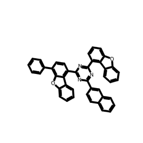 c1ccc(-c2ccc(-c3nc(-c4ccc5ccccc5c4)nc(-c4cccc5oc6ccccc6c45)n3)c3c2oc2ccccc23)cc1